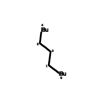 [CH2]C(CC)CCCC(C)CC